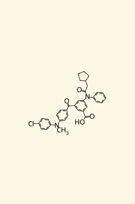 CN(c1ccc(Cl)cc1)c1ccc(C(=O)c2cc(C(=O)O)cc(N(C(=O)CC3CCCC3)c3ccccc3)c2)cc1